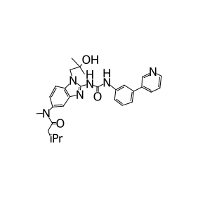 CC(C)CC(=O)N(C)c1ccc2c(c1)nc(NC(=O)Nc1cccc(-c3cccnc3)c1)n2CC(C)(C)O